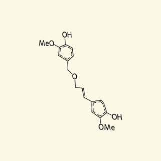 COc1cc(/C=C/COCc2ccc(O)c(OC)c2)ccc1O